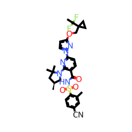 Cc1cc(C#N)ccc1S(=O)(=O)NC(=O)c1ccc(-n2ccc(OCC3(C(C)(F)F)CC3)n2)nc1N1C[C@@H](C)CC1(C)C